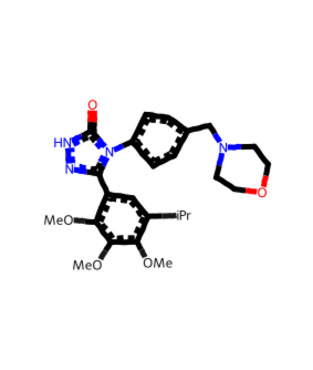 COc1c(-c2n[nH]c(=O)n2-c2ccc(CN3CCOCC3)cc2)cc(C(C)C)c(OC)c1OC